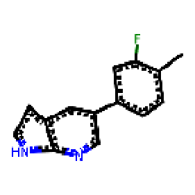 Cc1ccc(-c2cnc3[nH]ccc3c2)cc1F